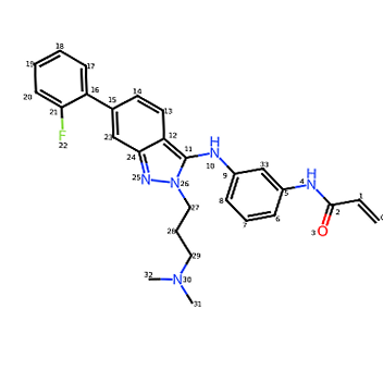 C=CC(=O)Nc1cccc(Nc2c3ccc(-c4ccccc4F)cc3nn2CCCN(C)C)c1